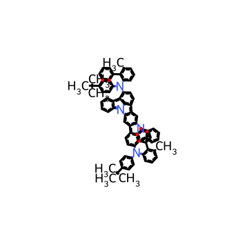 Cc1cccc(N(c2ccc(C(C)(C)C)cc2)c2ccc3c4cc5c(cc4n4c6ccccc6c2c34)c2ccc(N(c3ccc(C(C)(C)C)cc3)c3cccc(C)c3-c3ccccc3)c3c4ccccc4n5c23)c1-c1ccccc1